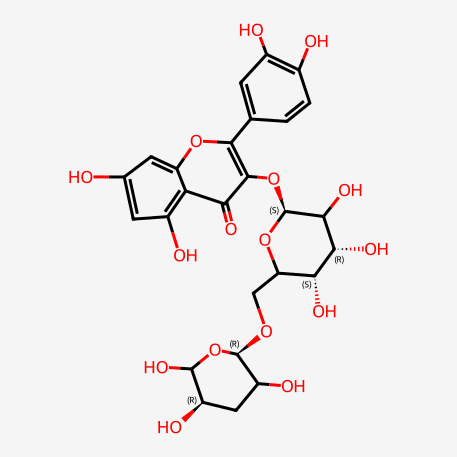 O=c1c(O[C@@H]2OC(CO[C@@H]3OC(O)[C@H](O)CC3O)[C@@H](O)[C@@H](O)C2O)c(-c2ccc(O)c(O)c2)oc2cc(O)cc(O)c12